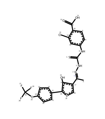 C/C(=N\NC(=S)Nc1ccc(C(=O)O)c(Cl)c1)c1csc(-c2ccc(OC(F)(F)F)cc2)c1O